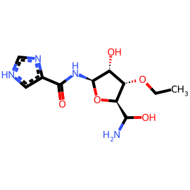 CCO[C@H]1[C@@H](O)[C@H](NC(=O)c2c[nH]cn2)O[C@@H]1C(N)O